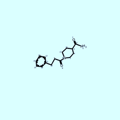 NC(=O)C1CCN(C(=O)CCc2ccccc2)CC1